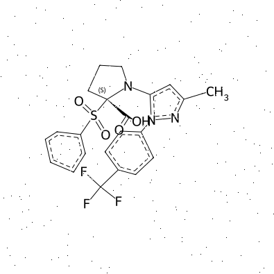 Cc1cc(N2CCC[C@@]2(C(=O)O)S(=O)(=O)c2ccccc2)n(-c2ccc(C(F)(F)F)cc2)n1